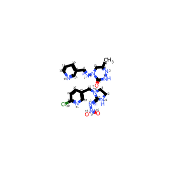 CC1=NNC(=O)N(/N=C/c2cccnc2)C1.O=[N+]([O-])/N=C1\NCCN1Cc1ccc(Cl)nc1